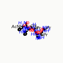 CC(=O)NC(Cc1ccccc1)C(=O)NC(CCC(N)=O)C(=O)N[C@@H](Cc1c[nH]c2ccccc12)C(=O)NC(C)C(=O)N[C@H](C(=O)NCC(=O)N[C@@H](Cc1c[nH]cn1)C(=O)NC(CC(C)C)[C@@H](O)CC(=O)N[C@@H](CC(C)C)C(N)=O)C(C)C